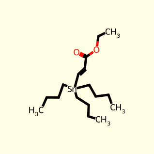 CCC[CH2][Sn](/[CH]=C/C(=O)OCC)([CH2]CCC)[CH2]CCC